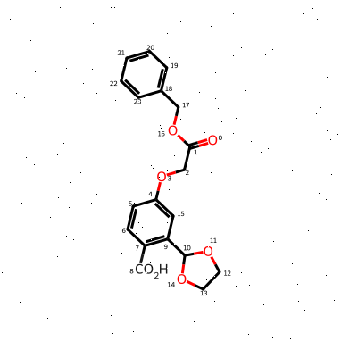 O=C(COc1ccc(C(=O)O)c(C2OCCO2)c1)OCc1ccccc1